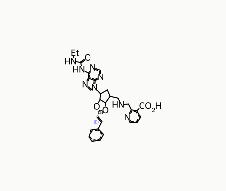 CCNC(=O)Nc1ncnc2c1ncn2C1CC(CNCc2ncccc2C(=O)O)C2O[C@H](/C=C/c3ccccc3)OC21